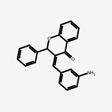 Nc1cccc(/C=C2\C(=O)c3ccccc3OC2c2ccccc2)c1